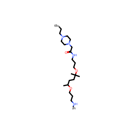 CC(C)NCCCOC(C)CCC(C)(C)OCCCNC(=O)CN1CCN(CCC(C)(C)C)CC1